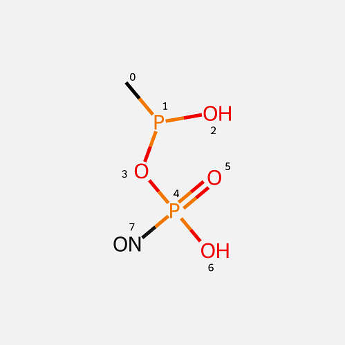 CP(O)OP(=O)(O)N=O